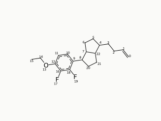 C=CCCC1CCC2C(c3ccc(OCC)c(F)c3F)CCC12